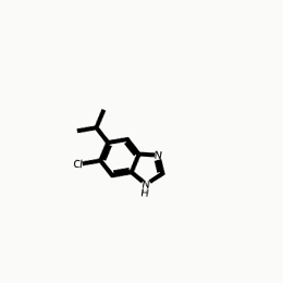 CC(C)c1cc2nc[nH]c2cc1Cl